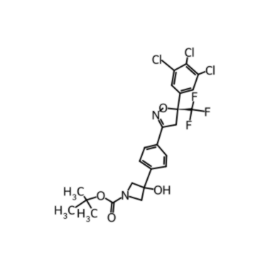 CC(C)(C)OC(=O)N1CC(O)(c2ccc(C3=NO[C@@](c4cc(Cl)c(Cl)c(Cl)c4)(C(F)(F)F)C3)cc2)C1